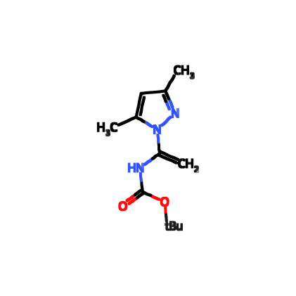 C=C(NC(=O)OC(C)(C)C)n1nc(C)cc1C